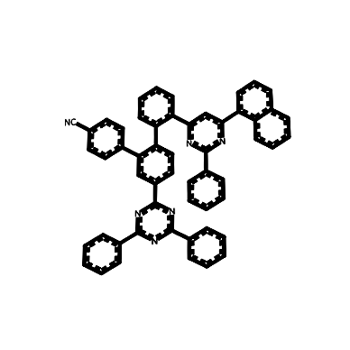 N#Cc1ccc(-c2cc(-c3nc(-c4ccccc4)nc(-c4ccccc4)n3)ccc2-c2ccccc2-c2cc(-c3cccc4ccccc34)nc(-c3ccccc3)n2)cc1